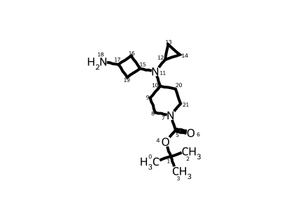 CC(C)(C)OC(=O)N1CCC(N(C2CC2)C2CC(N)C2)CC1